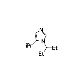 CCC(CC)n1cncc1C(C)C